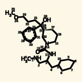 CNCC(CC1CCCCC1)NC(=O)N1CCC[C@@H]([C@@](O)(CCCOC)c2ccccc2)C1